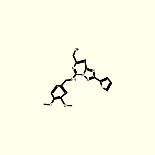 COc1ccc(CNc2nc(CO)cc3nc(-c4ccco4)nn23)cc1OC